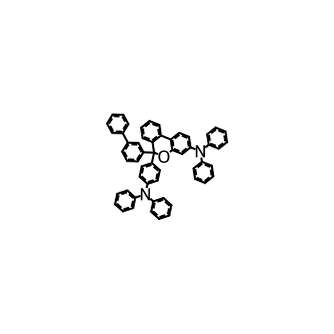 c1ccc(-c2cccc(C3(c4ccc(N(c5ccccc5)c5ccccc5)cc4)Oc4cc(N(c5ccccc5)c5ccccc5)ccc4-c4ccccc43)c2)cc1